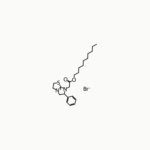 CCCCCCCCCCOC(=O)CN1C2=[N+](CCS2)CC1c1ccccc1.[Br-]